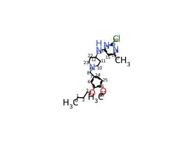 CCCCOc1cc(CN2CCC(Nc3cc(C)nc(Cl)n3)CC2)ccc1OC